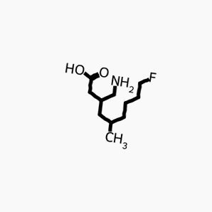 CC(CCCCF)CC(CN)CC(=O)O